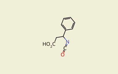 O=C=NC(CC(=O)O)c1ccccc1